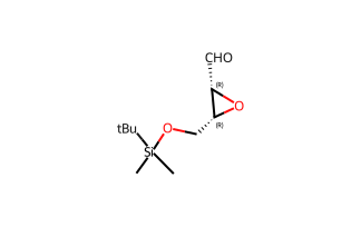 CC(C)(C)[Si](C)(C)OC[C@H]1O[C@H]1C=O